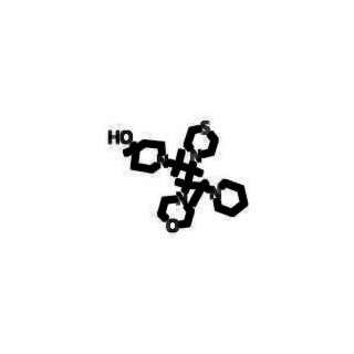 CC1(O)CCN(C(C)(C)C(C)(N2CCSCC2)C(C)(N2CCOCC2)C(C)(C)N2CCCCC2)CC1